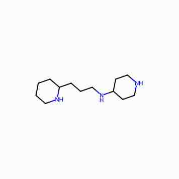 C1CCC(CCCNC2CCNCC2)NC1